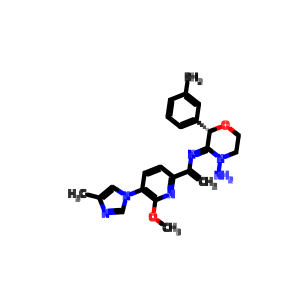 Bc1cccc([C@@H]2OCCN(N)/C2=N\C(=C)c2ccc(-n3cnc(C)c3)c(OC)n2)c1